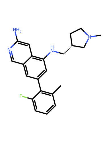 Cc1cccc(F)c1-c1cc(NC[C@@H]2CCN(C)C2)c2cc(N)ncc2c1